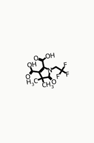 CC1(C)C(=O)N(CC(F)(F)F)C(C(=O)O)=C1C(=O)O